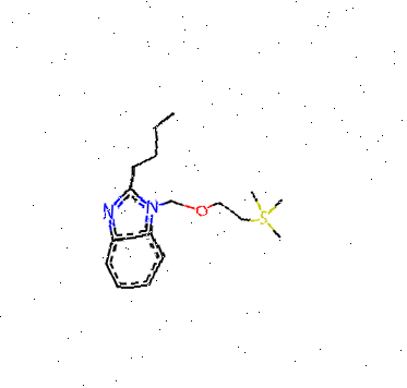 CCCCc1nc2ccccc2n1COCCS(C)(C)C